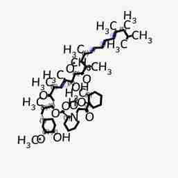 CO[C@@H]1C[C@H](C[C@@H](C)[C@H](CC(=O)[C@H](C)/C=C(\C)[C@@H](O)[C@@H](OC)C(=O)[C@H](C)C[C@H](C)/C=C/C=C/C=C(\C)[C@@H](C)C(C)C)OC(=O)[C@@H]2CCCCN2C(=O)C(=O)[C@]2(O)CCCC[C@H]2C)CC[C@H]1O